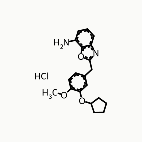 COc1ccc(Cc2nc3cccc(N)c3o2)cc1OC1CCCC1.Cl